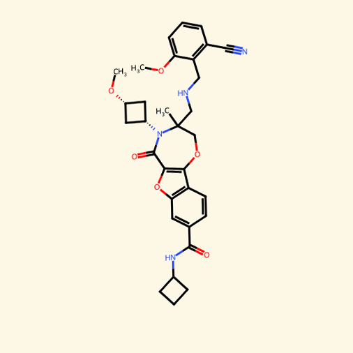 COc1cccc(C#N)c1CNCC1(C)COc2c(oc3cc(C(=O)NC4CCC4)ccc23)C(=O)N1[C@H]1C[C@@H](OC)C1